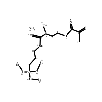 C=C(C)C(=O)OCCN(C(=O)NCCC[Si](OCC)(OCC)OCC)C(C)(C)C.[SiH4]